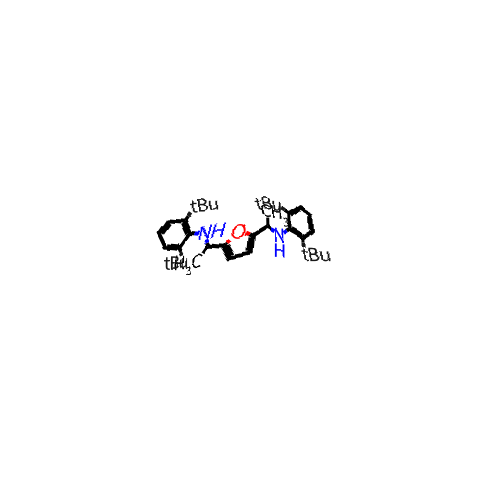 CC(Nc1c(C(C)(C)C)cccc1C(C)(C)C)c1ccc(C(C)Nc2c(C(C)(C)C)cccc2C(C)(C)C)o1